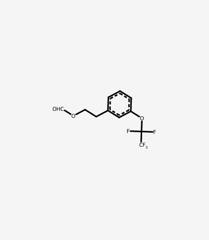 O=COCCc1cccc(OC(F)(F)C(F)(F)F)c1